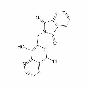 O=C1c2ccccc2C(=O)N1Cc1cc(Cl)c2cccnc2c1O